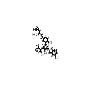 CNC[C@@H](O)COc1ccc(Cl)c(-c2nc(-c3c(C)noc3C)c(C)c(N3Cc4cc(Cl)cnc4C3)n2)c1